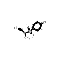 C#CN(C)S(=O)(=O)c1ccc(Cl)cc1